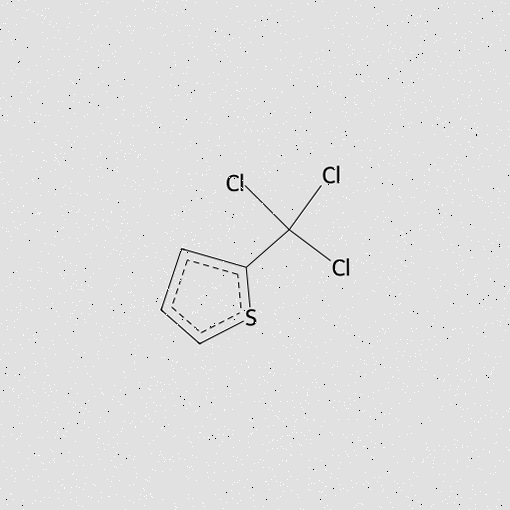 ClC(Cl)(Cl)c1cccs1